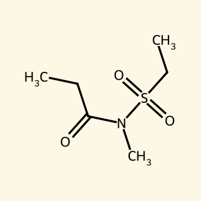 CCC(=O)N(C)S(=O)(=O)CC